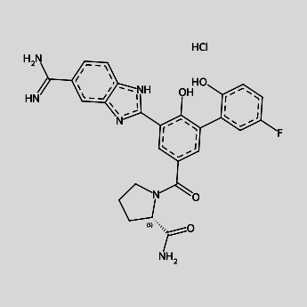 Cl.N=C(N)c1ccc2[nH]c(-c3cc(C(=O)N4CCC[C@H]4C(N)=O)cc(-c4cc(F)ccc4O)c3O)nc2c1